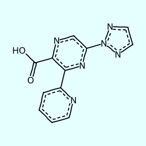 O=C(O)c1ncc(-n2nccn2)nc1-c1ccccn1